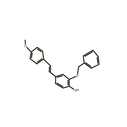 COc1ccc(/C=C/c2ccc(O)c(OCc3ccccc3)c2)cc1